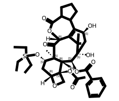 CC[Si](CC)(CC)O[C@H]1C[C@H]2OC[C@@]2(OC(C)=O)[C@H]2[C@H](OC(=O)c3ccccc3)[C@]3(O)C[C@H](O)C4=C([C@@H](OC(=O)C5CCCC45)C(=O)[C@]12C)C3(C)C